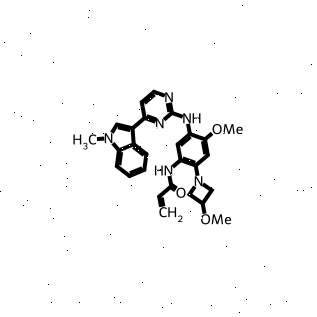 C=CC(=O)Nc1cc(Nc2nccc(-c3cn(C)c4ccccc34)n2)c(OC)cc1N1CC(OC)C1